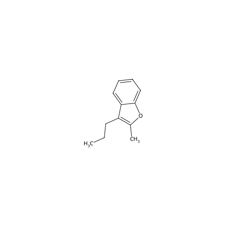 CCCc1c(C)oc2ccccc12